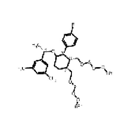 CCCOOSOC[C@H]1CCC(O[C@@H](C)c2cc(C(F)(F)F)cc(C(F)(F)F)c2)[C@@H](c2ccc(F)cc2)[C@@H]1COSOOCCC